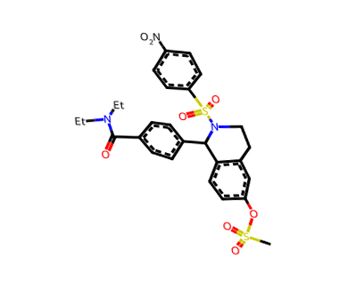 CCN(CC)C(=O)c1ccc(C2c3ccc(OS(C)(=O)=O)cc3CCN2S(=O)(=O)c2ccc([N+](=O)[O-])cc2)cc1